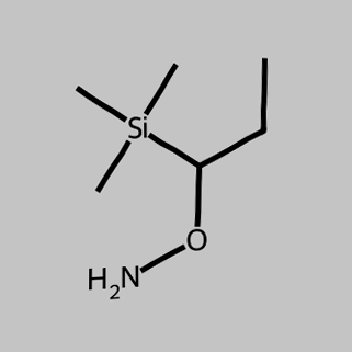 CCC(ON)[Si](C)(C)C